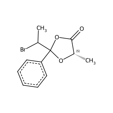 CC(Br)C1(c2ccccc2)OC(=O)[C@H](C)O1